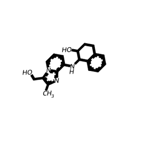 Cc1nc2c(NC3c4ccccc4CCC3O)cccn2c1CO